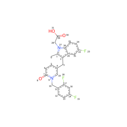 Cc1c(Cc2ccc(=O)n(Cc3ccc(F)cc3F)c2)c2cc(F)ccc2n1CC(=O)O